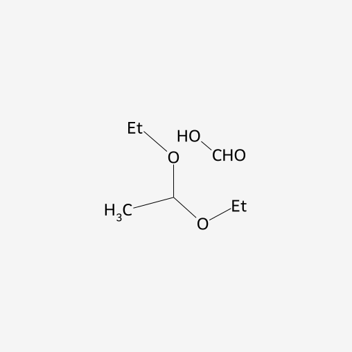 CCOC(C)OCC.O=CO